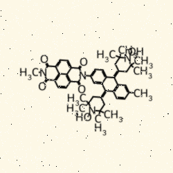 Cc1ccc2c(=C3CC(C)(C)N(O)C(C)(C)C3)c3cc(N4C(=O)c5ccc6c7c(ccc(c57)C4=O)C(=O)N(C)C6=O)ccc3c(=C3CC(C)(C)N(O)C(C)(C)C3)c2c1